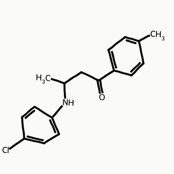 Cc1ccc(C(=O)CC(C)Nc2ccc(Cl)cc2)cc1